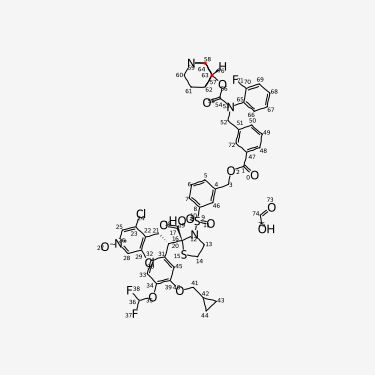 O=C(OCc1cccc(S(=O)(=O)N2CCS[C@]2(C(=O)O)[C@@H](Cc2c(Cl)c[n+]([O-])cc2Cl)c2ccc(OC(F)F)c(OCC3CC3)c2)c1)c1cccc(CN(C(=O)O[C@H]2CN3CCC2CC3)c2ccccc2F)c1.O=CO